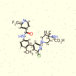 Cc1ccc(NC(=O)c2ccnc(C(F)(F)F)c2)cc1-c1cc(Cl)nc(N2CCC(C)(NC(=O)O)CC2)c1